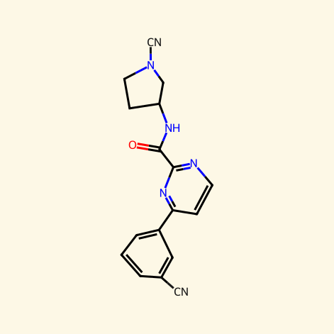 N#Cc1cccc(-c2ccnc(C(=O)NC3CCN(C#N)C3)n2)c1